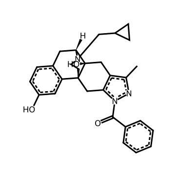 Cc1nn(C(=O)c2ccccc2)c2c1C[C@@]1(O)[C@H]3Cc4ccc(O)cc4[C@@]1(CCN3CC1CC1)C2